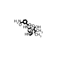 CC[C@H](C)[C@H](NC(=O)[C@H](Cc1ncc[nH]1)NC(=O)c1cccc(C(N)=O)c1)C(=O)O